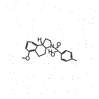 COc1cccc2c1CC[C@H]1[C@H]2CCN1S(=O)(=O)c1ccc(C)cc1